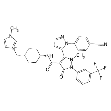 Cn1cc[n+](C[C@H]2CC[C@H](NC(=O)c3c(-c4ccnn4-c4ccc(C#N)cc4)n(C)n(-c4cccc(C(F)(F)F)c4)c3=O)CC2)c1